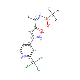 C/C(=N/[S@+]([O-])C(C)(C)C)c1cc(-c2ccnc(C(F)(F)F)c2)no1